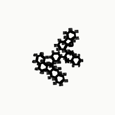 c1cc(-c2nc3ccccc3nc2-c2cccc3c2oc2ccccc23)cc(-n2c3cc4ccccc4cc3c3ccc4ccccc4c32)c1